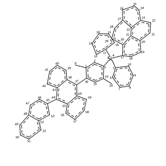 Cc1cc([Si](c2ccccc2)(c2ccccc2)c2ccc3ccc4cccc5ccc2c3c45)c(C)cc1-c1c2ccccc2c(-c2ccc3ccccc3c2)c2ccccc12